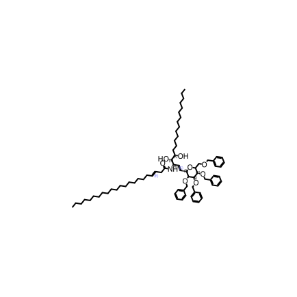 CCCCCCCCCCCCCCCCCC/C=C/CC(=O)N[C@@H](/C=C/[C@H]1OC(COCc2ccccc2)[C@H](OCc2ccccc2)[C@@H](OCc2ccccc2)C1OCc1ccccc1)[C@H](O)[C@H](O)CCCCCCCCCCCCCC